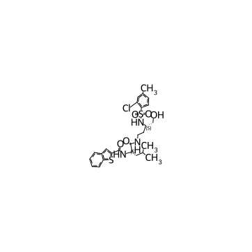 Cc1ccc(S(=O)(=O)N[C@H](CO)CCNC(=O)[C@H](CC(C)C)NC(=O)c2cc3ccccc3s2)c(Cl)c1